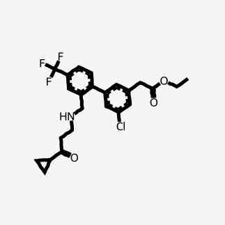 CCOC(=O)Cc1cc(Cl)cc(-c2ccc(C(F)(F)F)cc2CNCCC(=O)C2CC2)c1